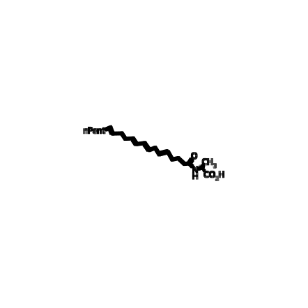 CCCCCC=CCCC=CC=CCC=CCCCC(=O)N[C@@H](C)C(=O)O